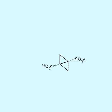 O=C(O)[C@]12C[C@@]1(C(=O)O)C2